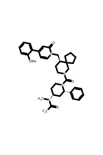 COc1ccccc1-c1ccn(C[C@@H]2CCN(C(=O)N3CC[C@@H](N(C)C(=O)C(F)(F)F)C[C@H]3c3ccccc3)CC23CCCC3)c(=O)c1